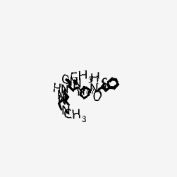 CN1CCn2nc(Nc3cc(N4CCC[C@@H](NC(=O)c5cc6ccccc6s5)C4)nn(C)c3=O)cc2C1